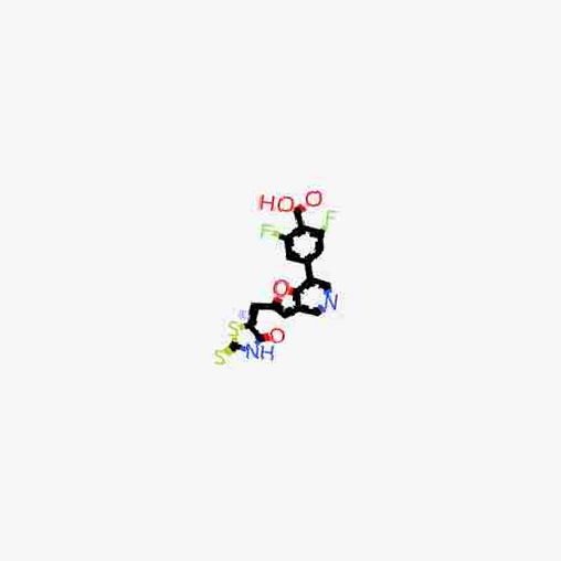 O=C1NC(=S)S/C1=C/c1cc2cncc(-c3cc(F)c(C(=O)O)c(F)c3)c2o1